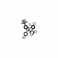 CO[C@H]1CC[C@H](n2c([C@@H]3COCC(=O)N3c3ccc(Cl)c(F)c3)nc3cc(-c4c(C)noc4C)ccc32)CC1